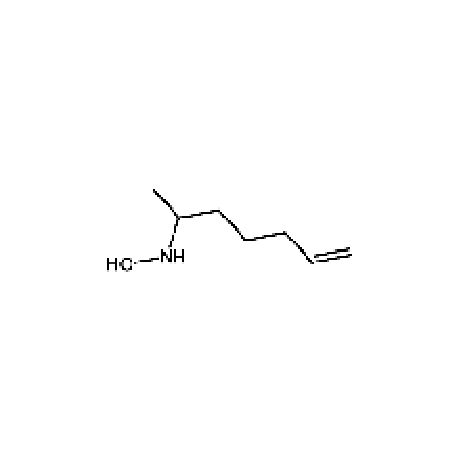 C=CCCCC(C)NO